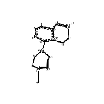 CN1CCN(c2nccc3c2CCN=C3)CC1